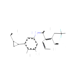 C=C/C(CC(C)(F)F)=C(\C=C/C)C(=C)Nc1cc(C)c(C)c(C2CC2C=C)c1